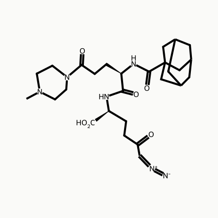 CN1CCN(C(=O)CC[C@@H](NC(=O)C23CC4CC(CC(C4)C2)C3)C(=O)N[C@@H](CCC(=O)C=[N+]=[N-])C(=O)O)CC1